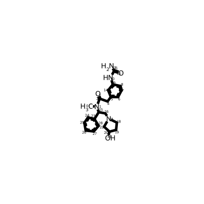 CN(C(=O)Cc1cccc(NC(N)=O)c1)C(CN1CCC(O)C1)c1ccccc1